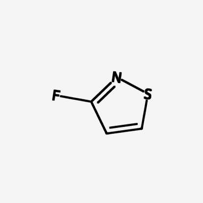 Fc1ccsn1